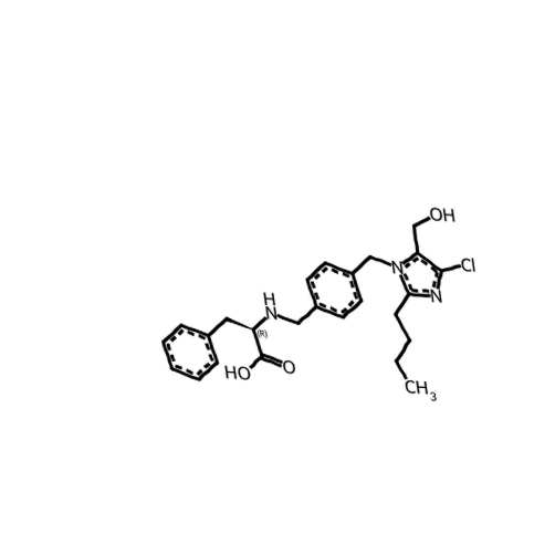 CCCCc1nc(Cl)c(CO)n1Cc1ccc(CN[C@H](Cc2ccccc2)C(=O)O)cc1